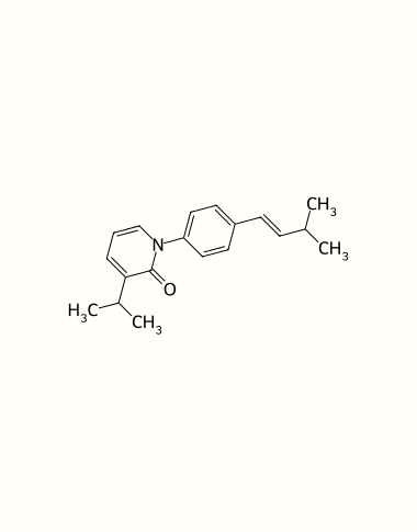 CC(C)/C=C/c1ccc(-n2cccc(C(C)C)c2=O)cc1